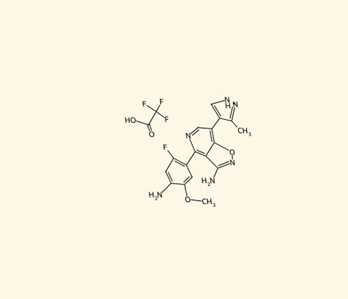 COc1cc(-c2ncc(-c3c[nH]nc3C)c3onc(N)c23)c(F)cc1N.O=C(O)C(F)(F)F